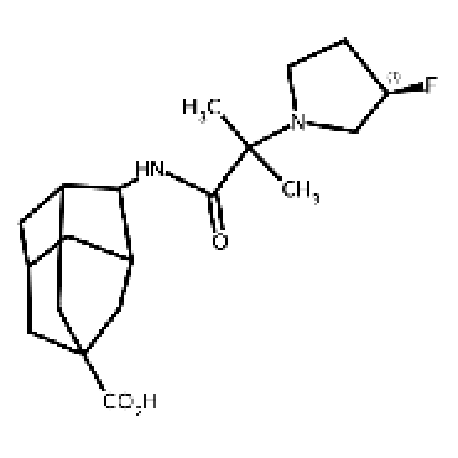 CC(C)(C(=O)NC1C2CC3CC1CC(C(=O)O)(C3)C2)N1CC[C@@H](F)C1